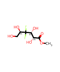 COC(=O)[C@H](O)[C@@H](O)C(F)(F)[C@H](O)CO